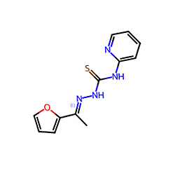 C/C(=N\NC(=S)Nc1ccccn1)c1ccco1